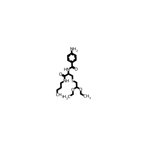 CCCCNC(=O)C(CSCC(OCC)OCC)NC(=O)c1ccc(N)cc1